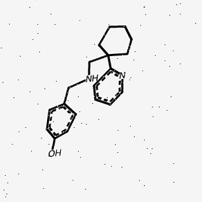 Oc1ccc(CNCC2(c3ccccn3)CCCCC2)cc1